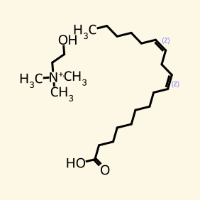 CCCCC/C=C\C/C=C\CCCCCCCC(=O)O.C[N+](C)(C)CCO